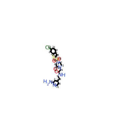 Nc1cc(CCNC(=O)CN2CCN(S(=O)(=O)c3cc4ccc(Cl)cc4s3)CC2=O)ccn1